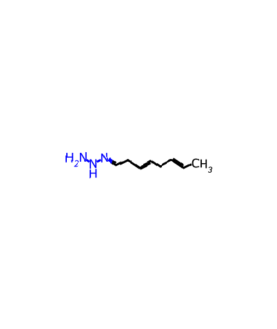 C/C=C/C/C=C/C/C=N/NN